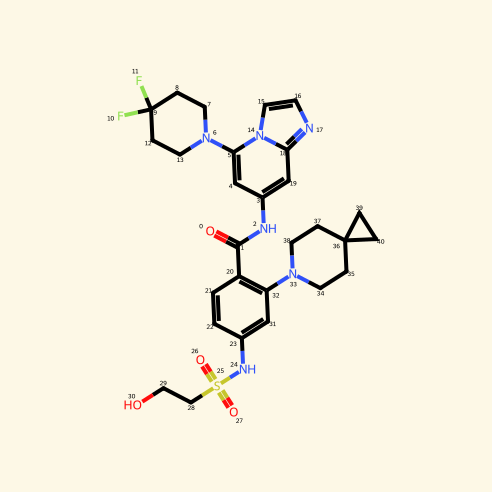 O=C(Nc1cc(N2CCC(F)(F)CC2)n2ccnc2c1)c1ccc(NS(=O)(=O)CCO)cc1N1CCC2(CC1)CC2